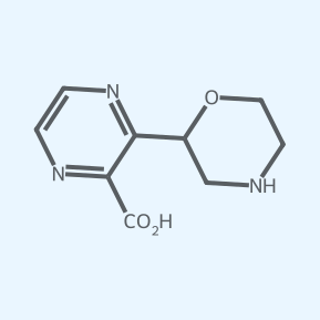 O=C(O)c1nccnc1C1CNCCO1